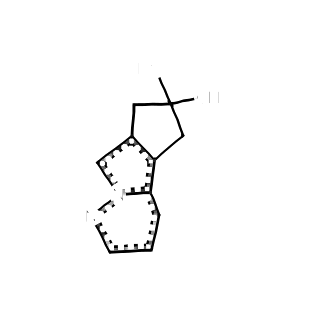 CC1(C)Cc2cn3ncccc3c2C1